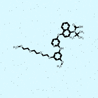 COCCOCCOCCOc1cc(Nc2cc(Oc3ccc(N(C(=O)O)C(C)(C)C)c4ccccc34)ccn2)cc(OC)c1